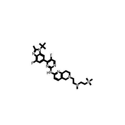 Cc1nc2c(F)cc(-c3nc(Nc4ccc5c(n4)CCN(CCN(C)CC[Si](C)(C)C)C5)ncc3F)cc2n1C(C)(C)C